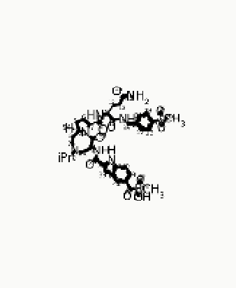 CC(C)N1CC[C@H]2CC[C@@H](C(=O)N[C@@H](CCC(N)=O)C(=O)NCc3ccc(S(C)(=O)=O)cc3)N2C(=O)[C@@H](NC(=O)c2cc3cc(C(=O)P(C)(=O)O)ccc3[nH]2)C1